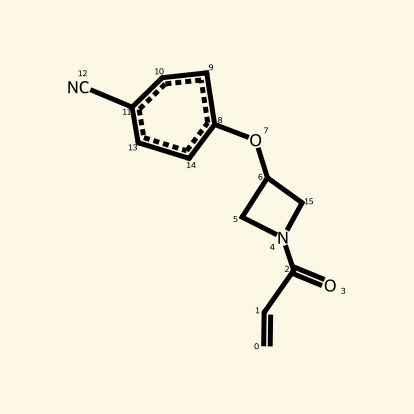 C=CC(=O)N1CC(Oc2ccc(C#N)cc2)C1